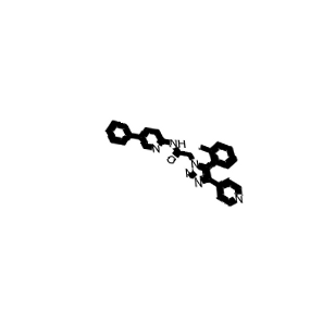 Cc1ccccc1-c1c(-c2ccncc2)nnn1CC(=O)Nc1ccc(-c2ccccc2)cn1